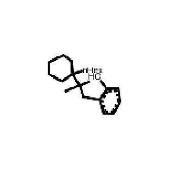 CCCCCCC1(C(C)(C)Cc2ccccc2O)CCCCC1